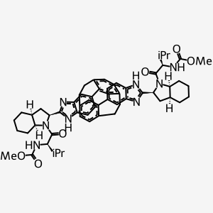 COC(=O)N[C@@H](C(=O)N1[C@H](c2nc3cc(-c4cc5ccc4CCc4ccc(c(-c6ccc7[nH]c([C@@H]8C[C@@H]9CCCC[C@@H]9N8C(=O)[C@H](NC(=O)OC)C(C)C)nc7c6)c4)CC5)ccc3[nH]2)C[C@@H]2CCCC[C@@H]21)C(C)C